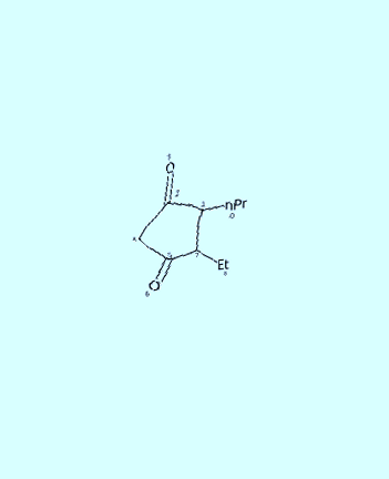 CCCC1C(=O)CC(=O)C1CC